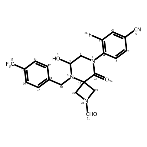 N#Cc1ccc(N2CC(O)N(Cc3ccc(C(F)(F)F)cc3)C3(CN(C=O)C3)C2=O)c(F)c1